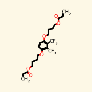 C=CC(=O)OCCCCOc1ccc(OCCCCOC(=O)C=C)c(C(F)(F)F)c1C(F)(F)F